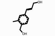 Cc1cc(/C=C/CO)ccc1CO